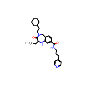 O=C(O)CC1Nc2cc(C(=O)NCCCc3ccncc3)ccc2CN(CCC2CCCCC2)C1=O